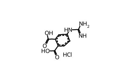 Cl.N=C(N)Nc1ccc(C(=O)O)c(C(=O)O)c1